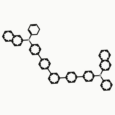 C1=CCCC(N(c2ccc(-c3ccc(-c4cccc(-c5ccc(-c6ccc(N(c7ccccc7)c7ccc8ccccc8c7)cc6)cc5)c4)cc3)cc2)c2ccc3ccccc3c2)=C1